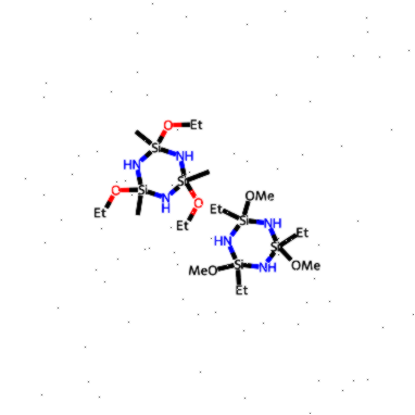 CCO[Si]1(C)N[Si](C)(OCC)N[Si](C)(OCC)N1.CC[Si]1(OC)N[Si](CC)(OC)N[Si](CC)(OC)N1